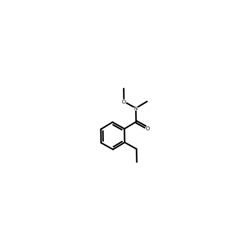 CCc1ccccc1C(=O)N(C)OC